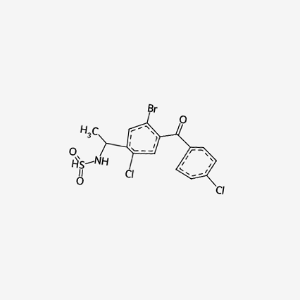 CC(N[SH](=O)=O)c1cc(Br)c(C(=O)c2ccc(Cl)cc2)cc1Cl